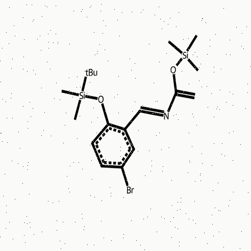 C=C(N=Cc1cc(Br)ccc1O[Si](C)(C)C(C)(C)C)O[Si](C)(C)C